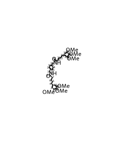 COc1cc(/C=C/C=C/C(=O)NCc2ccc(CNC(=O)/C=C/C=C/c3cc(OC)c(OC)c(OC)c3)cc2)cc(OC)c1OC